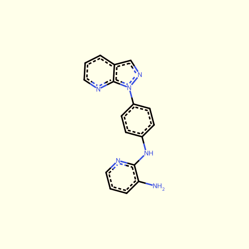 Nc1cccnc1Nc1ccc(-n2ncc3cccnc32)cc1